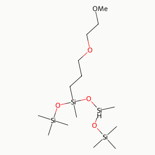 COCCOCCC[Si](C)(O[SiH](C)O[Si](C)(C)C)O[Si](C)(C)C